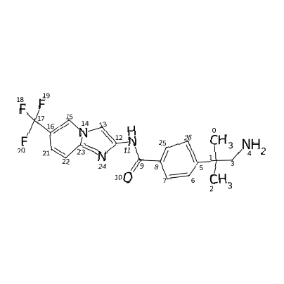 CC(C)(CN)c1ccc(C(=O)Nc2cn3cc(C(F)(F)F)ccc3n2)cc1